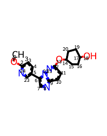 COc1ccc(-c2cnc3ccc(OC4CCC(O)CC4)nn23)cn1